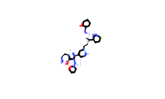 CN1CCc2[nH]c(-c3ccnc(CC[C@@H](CNC(=O)c4ccccc4O)c4ccc(F)cc4)c3)c(Nc3ccccc3)c2C1=O